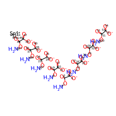 NOC(=O)C(=O)[O-].NOC(=O)C(=O)[O-].NOC(=O)C(=O)[O-].NOC(=O)C(=O)[O-].NOC(=O)C(=O)[O-].NOC(=O)C(=O)[O-].NOC(=O)C(=O)[O-].NOC(=O)C(=O)[O-].[Sn+4].[Ti+4]